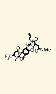 C=CCN1C(=O)C(CC(=O)NC)SC1=Nc1cc(-n2c(=O)cc(C(F)(F)F)n(C)c2=O)c(F)cc1Cl